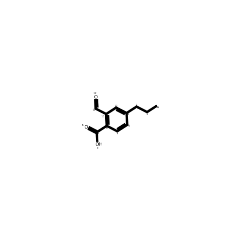 CCCc1ccc(C(=O)O)c(C=O)c1